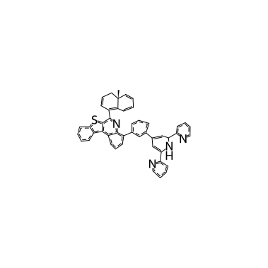 C[C@@]12C=CC=CC1=C(c1nc3c(-c4cccc(C5=CC(c6ccccn6)NC(c6ccccn6)=C5)c4)cccc3c3c1sc1ccccc13)C=CC2